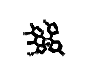 C[C@H]1CC[C@@H]2[C@@H](C(c3ccc(F)cc3)c3cccc(F)c3)n3ncc(=O)c(O)c3C(=O)N21